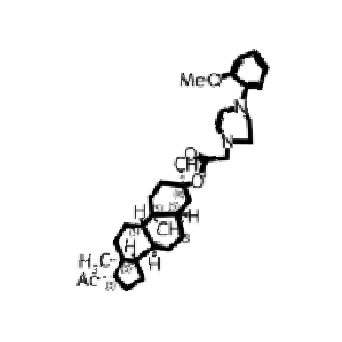 COc1ccccc1N1CCN(CC(=O)O[C@]2(C)CC[C@@]3(C)[C@@H](CC[C@@H]4[C@@H]3CC[C@]3(C)[C@@H](C(C)=O)CC[C@@H]43)C2)CC1